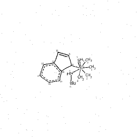 CC(C)(C)[NH][Ti]([CH3])([CH3])([CH3])([CH3])(=[SiH2])[CH]1C=Cc2ccccc21